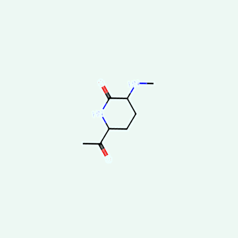 CNC1CCC(C(C)=O)NC1=O